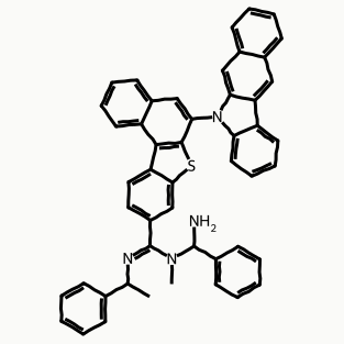 CC(/N=C(/c1ccc2c(c1)sc1c(-n3c4ccccc4c4cc5ccccc5cc43)cc3ccccc3c12)N(C)C(N)c1ccccc1)c1ccccc1